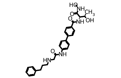 C[C@@H](O)[C@H](NC(=O)c1ccc(-c2ccc(NC(=O)CNCCCc3ccccc3)cc2)cc1)C(=O)NO